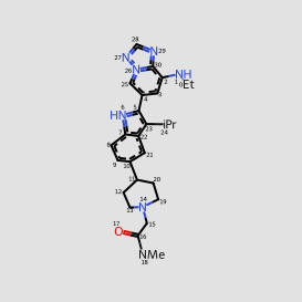 CCNc1cc(-c2[nH]c3ccc(C4CCN(CC(=O)NC)CC4)cc3c2C(C)C)cn2ncnc12